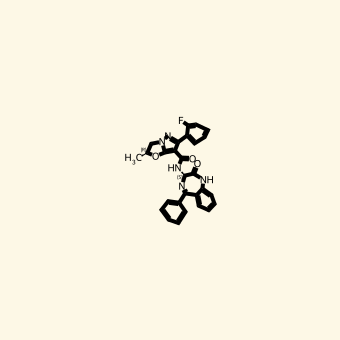 C[C@@H]1Cn2nc(-c3ccccc3F)c(C(=O)N[C@H]3N=C(c4ccccc4)c4ccccc4NC3=O)c2O1